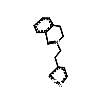 C1=[N+](CCc2ccncc2)CCc2ccccc21